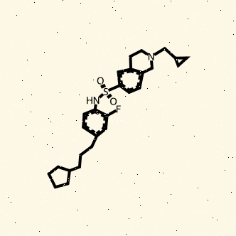 O=S(=O)(Nc1ccc(CCCC2CCCC2)cc1F)c1ccc2c(c1)CCN(CC1CC1)C2